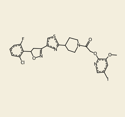 COc1cc(I)cnc1OCC(=O)N1CCC(c2nc(C3=NOC(c4c(F)cccc4Cl)C3)cs2)CC1